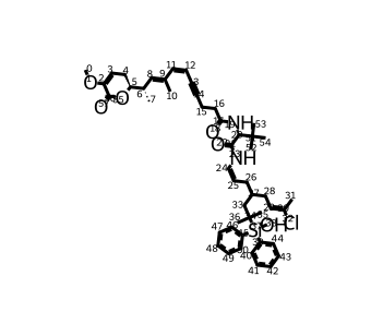 COC1=CC[C@@H]([C@@H](C)/C=C(C)/C=C\C#CCCC(=O)N[C@H](C(=O)N/C=C\CC(C/C=C(\C)Cl)CC(C)(C)[Si](O)(c2ccccc2)c2ccccc2)C(C)(C)C)OC1=O